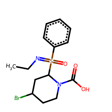 CCN=S(=O)(c1ccccc1)C1CC(Br)CCN1C(=O)O